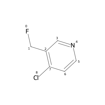 FCc1cnccc1Cl